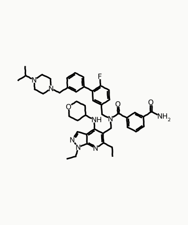 CCc1nc2c(cnn2CC)c(NC2CCOCC2)c1CN(Cc1ccc(F)c(-c2cccc(CN3CCN(C(C)C)CC3)c2)c1)C(=O)c1cccc(C(N)=O)c1